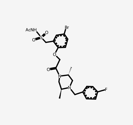 CC(=O)NS(=O)(=O)Cc1cc(Br)ccc1OCC(=O)N1C[C@H](C)N(Cc2ccc(F)cc2)C[C@H]1C